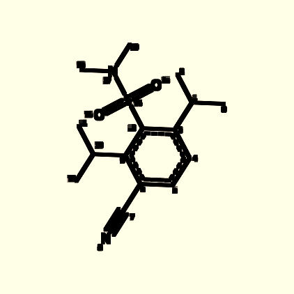 CC(C)c1ccc(C#N)c(C(C)C)c1S(=O)(=O)N(C)C